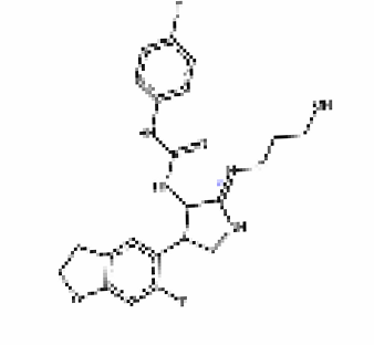 O=C(Nc1ccc(F)cc1)NC1/C(=N/OCCO)NCC1c1cc2c(cc1F)OCC2